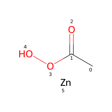 CC(=O)OO.[Zn]